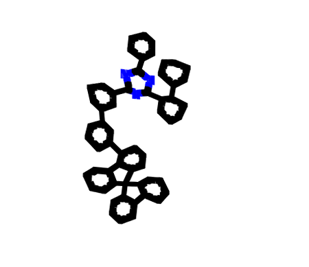 c1ccc(-c2nc(-c3cccc(-c4cccc(-c5cccc6c5-c5ccccc5C65c6ccccc6-c6ccccc65)c4)c3)nc(-c3ccccc3-c3ccccc3)n2)cc1